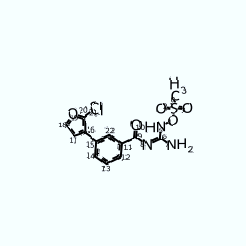 CS(=O)(=O)ONC(N)=NC(=O)c1cccc(-c2ccoc2Cl)c1